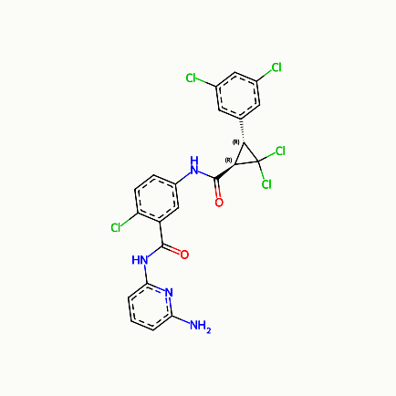 Nc1cccc(NC(=O)c2cc(NC(=O)[C@H]3[C@H](c4cc(Cl)cc(Cl)c4)C3(Cl)Cl)ccc2Cl)n1